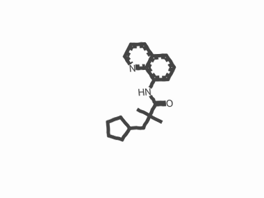 CC(C)(CC1CCCC1)C(=O)Nc1cccc2cccnc12